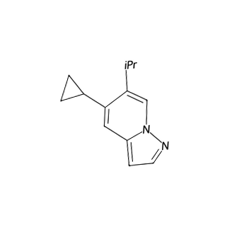 CC(C)c1cn2nccc2cc1C1CC1